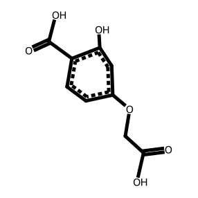 O=C(O)COc1ccc(C(=O)O)c(O)c1